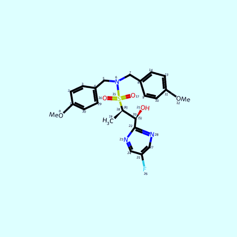 COc1ccc(CN(Cc2ccc(OC)cc2)S(=O)(=O)[C@H](C)[C@@H](O)c2ncc(F)cn2)cc1